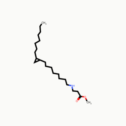 CCCCCCCCC1CC1CCCCCCCCNCCC(=O)OC